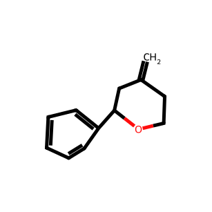 C=C1CCOC(c2ccccc2)C1